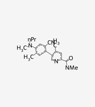 CCCN(C)c1cc(C#N)c(-c2cnc(C(=O)NC)cc2C)cc1C